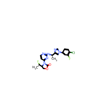 C[C@H](Nc1nccc(N2C(=O)OCC2[C@H](C)F)n1)c1cn(-c2ccc(Cl)c(F)c2)cn1